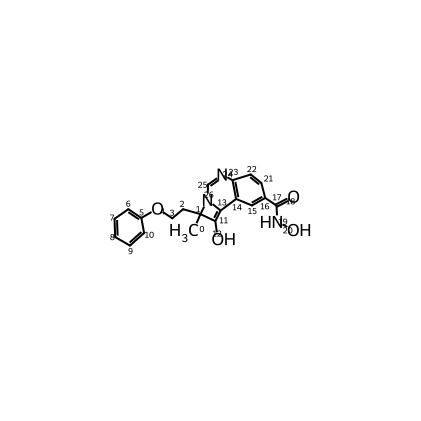 CC1(CCOc2ccccc2)C(O)=C2c3cc(C(=O)NO)ccc3N=CN21